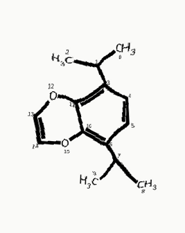 CC(C)c1ccc(C(C)C)c2c1OC=CO2